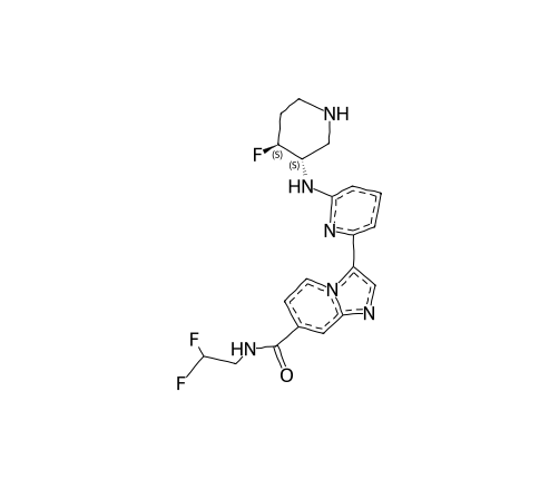 O=C(NCC(F)F)c1ccn2c(-c3cccc(N[C@H]4CNCC[C@@H]4F)n3)cnc2c1